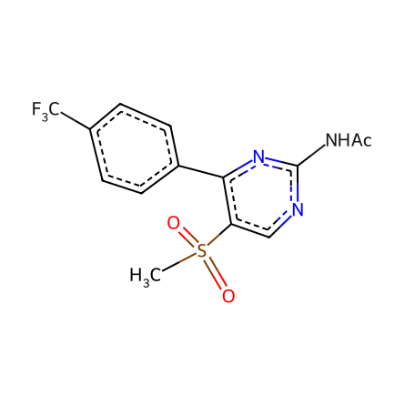 CC(=O)Nc1ncc(S(C)(=O)=O)c(-c2ccc(C(F)(F)F)cc2)n1